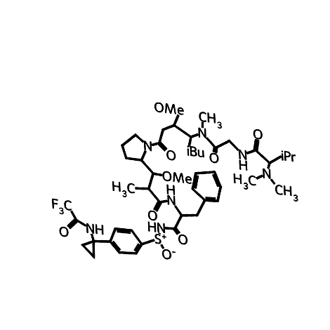 CCC(C)C(C(CC(=O)N1CCCC1C(OC)C(C)C(=O)NC(Cc1ccccc1)C(=O)N[S+]([O-])c1ccc(C2(NC(=O)C(F)(F)F)CC2)cc1)OC)N(C)C(=O)CNC(=O)C(C(C)C)N(C)C